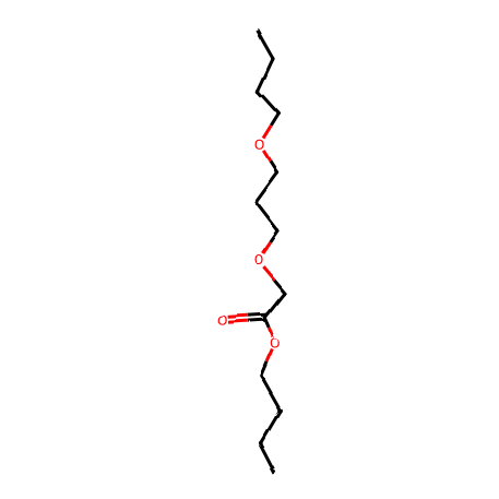 CCCCOCCCOCC(=O)OCCCC